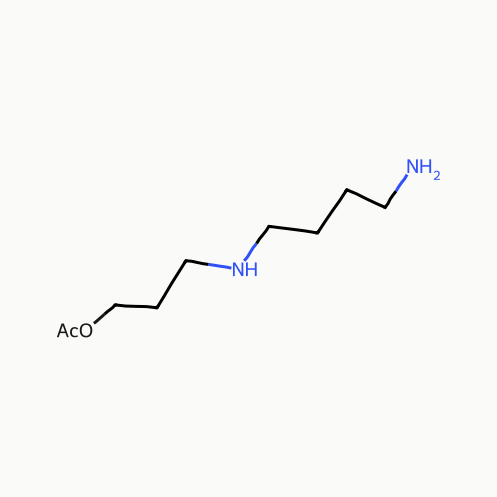 CC(=O)OCCCNCCCCN